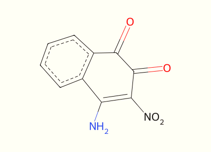 NC1=C([N+](=O)[O-])C(=O)C(=O)c2ccccc21